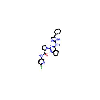 O=C(Nc1ccc(F)nc1)C1CCCN1c1nc2c(c(Nc3ncc(C4CCCCC4)[nH]3)n1)CCC2